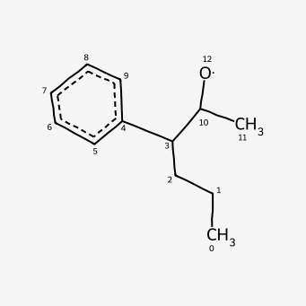 CCCC(c1ccccc1)C(C)[O]